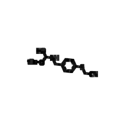 CC(C)(C)OC(O)NCc1ccc(SCC#N)cc1